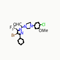 COc1cc(N2CCN(C(C=O)n3nc(-c4ccccc4)c(Br)c3C(F)(F)F)CC2)ccc1Cl